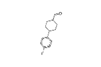 O=CC1CCC(c2ccc(F)cc2)CC1